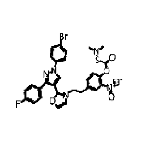 CN(C)SC(=O)Oc1ccc(CCN2C=COC2c2cn(-c3ccc(Br)cc3)nc2-c2ccc(F)cc2)cc1[N+](=O)[O-]